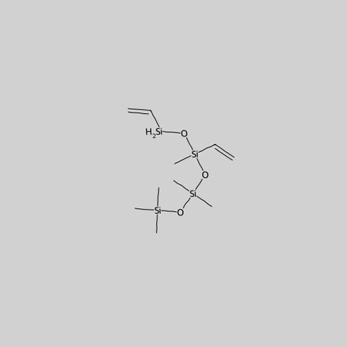 C=C[SiH2]O[Si](C)(C=C)O[Si](C)(C)O[Si](C)(C)C